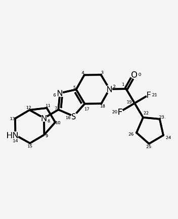 O=C(N1CCc2nc(N3C4CCC3CNC4)sc2C1)C(F)(F)C1CCCC1